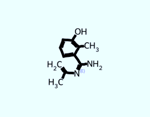 C=C(C)/N=C(/N)c1cccc(O)c1C